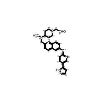 CN(Cc1ccc2cc(Oc3ccc(-c4ccn[nH]4)cn3)ccc2n1)C1CCN(CC=O)CC1